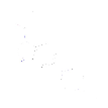 CN1CCN(c2ccc3c(c2)ncn3C(=O)OC(C)(C)C)CC1